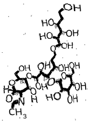 CC1=NC2[C@H](O1)OC(CO)[C@@H](O[C@H](O)C(O)[C@@H](O[C@H]1O[C@@H](CO)[C@@H](O)C(O)C1O)[C@H](O)CCO[C@@H](O)C(O)[C@@H](O)[C@H](O)CCO)[C@@H]2O